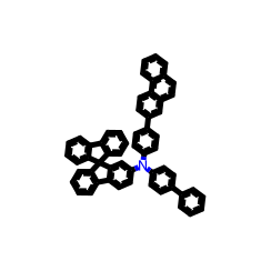 c1ccc(-c2ccc(N(c3ccc(-c4ccc5c(ccc6ccccc65)c4)cc3)c3ccc4c(c3)C3(c5ccccc5-c5ccccc53)c3ccccc3-4)cc2)cc1